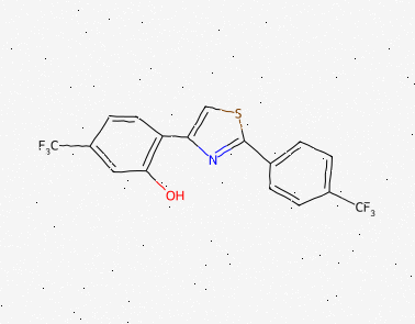 Oc1cc(C(F)(F)F)ccc1-c1csc(-c2ccc(C(F)(F)F)cc2)n1